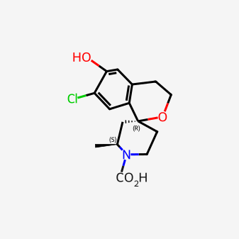 C[C@H]1C[C@@]2(CCN1C(=O)O)OCCc1cc(O)c(Cl)cc12